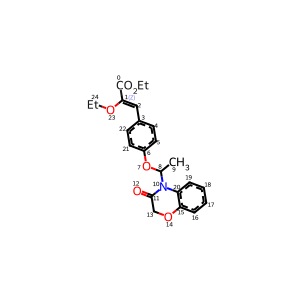 CCOC(=O)/C(=C/c1ccc(OC(C)N2C(=O)COc3ccccc32)cc1)OCC